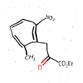 CCOC(=O)C(=O)Cc1c(C)cccc1[N+](=O)[O-]